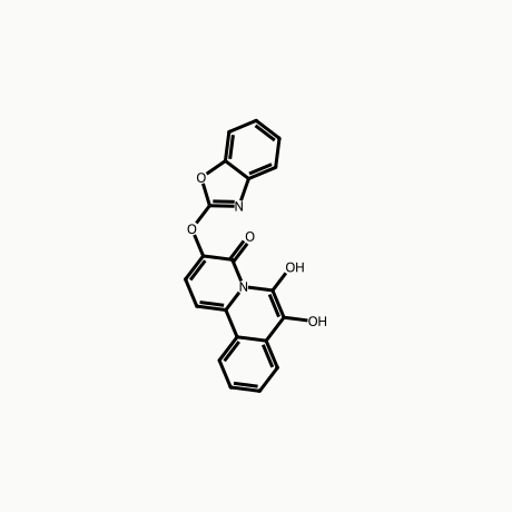 O=c1c(Oc2nc3ccccc3o2)ccc2c3ccccc3c(O)c(O)n12